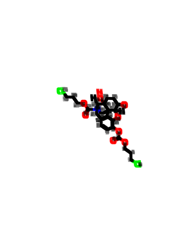 O=C(OCCCCl)Oc1ccc2c3c1O[C@H]1C(=O)CCC4(O)[C@@H](C2)N(C(=O)OCCCCl)CC[C@]314